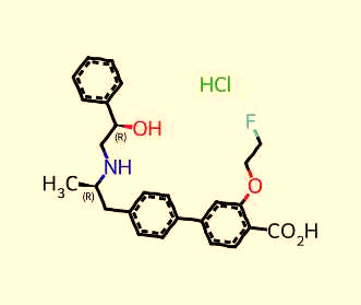 C[C@H](Cc1ccc(-c2ccc(C(=O)O)c(OCCF)c2)cc1)NC[C@H](O)c1ccccc1.Cl